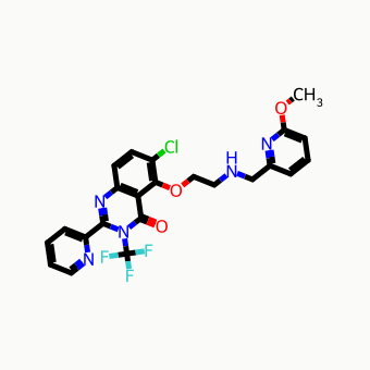 COc1cccc(CNCCOc2c(Cl)ccc3nc(-c4ccccn4)n(C(F)(F)F)c(=O)c23)n1